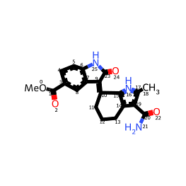 COC(=O)c1ccc2c(c1)/C(=C1\CCCc3c1[nH]c(C)c3C(N)=O)C(=O)N2